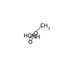 CCCCCc1ccc2[nH]c(C3(O)Cc4ccccc4C3)cc2c1